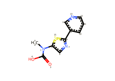 CN(C(=O)O)c1cnc(-c2cccnc2)s1